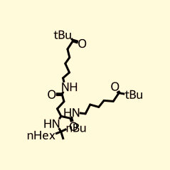 CCCCCCC(C)(CCCC)NC(CCC(=O)NCCCCCC(=O)C(C)(C)C)C(=O)NCCCCCC(=O)C(C)(C)C